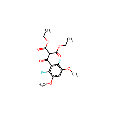 CCOC(=O)C(C(=O)OCC)C(=O)c1c(F)c(OC)cc(OC)c1F